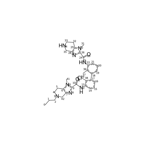 CCCN1CCc2c(nc(C(=O)Nc3cccc(-c4cccc(NC(=O)c5nc6c(n5C)CCNC6)c4C)c3Cl)n2C)C1